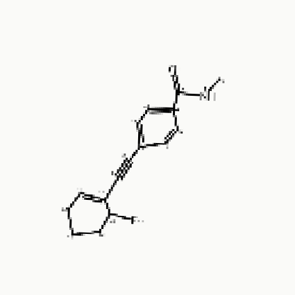 CNC(=O)c1ccc(C#CC2=CCCCC2F)cc1